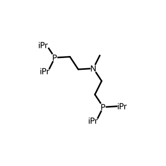 CC(C)P(CCN(C)CCP(C(C)C)C(C)C)C(C)C